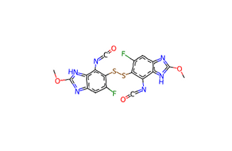 COc1nc2cc(F)c(SSc3c(F)cc4nc(OC)[nH]c4c3N=C=O)c(N=C=O)c2[nH]1